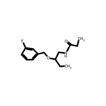 CCC(=O)NCC(CC)OCc1cccc(F)c1